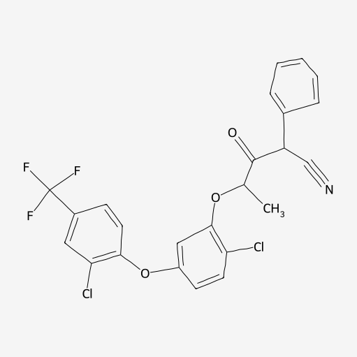 CC(Oc1cc(Oc2ccc(C(F)(F)F)cc2Cl)ccc1Cl)C(=O)C(C#N)c1ccccc1